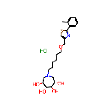 Cc1ccccc1-c1nc(COCCCCCCN2C[C@H](O)[C@@H](O)[C@H](O)[C@@H](O)C2)cs1.Cl